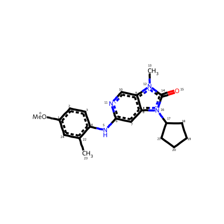 COc1ccc(Nc2cc3c(cn2)n(C)c(=O)n3C2CCCC2)c(C)c1